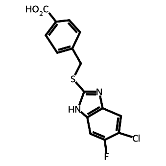 O=C(O)c1ccc(CSc2nc3cc(Cl)c(F)cc3[nH]2)cc1